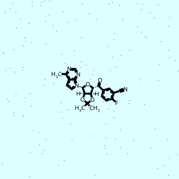 Cc1ncnc2c1ccn2[C@@H]1O[C@H](C(=O)c2ccc(F)c(C#N)c2)[C@H]2OC(C)(C)O[C@H]21